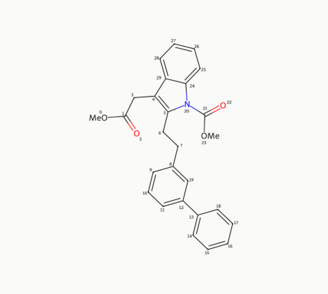 COC(=O)Cc1c(CCc2cccc(-c3ccccc3)c2)n(C(=O)OC)c2ccccc12